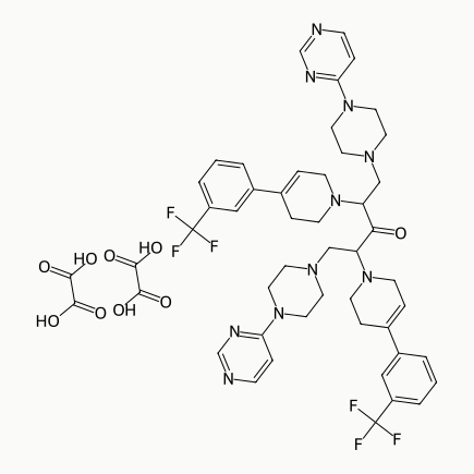 O=C(C(CN1CCN(c2ccncn2)CC1)N1CC=C(c2cccc(C(F)(F)F)c2)CC1)C(CN1CCN(c2ccncn2)CC1)N1CC=C(c2cccc(C(F)(F)F)c2)CC1.O=C(O)C(=O)O.O=C(O)C(=O)O